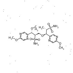 COc1cnc([C@@H](OC[C@H]([C@@H](OC)c2cnc(OC)cn2)S(N)(=O)=O)[C@H](C)S(N)(=O)=O)cn1